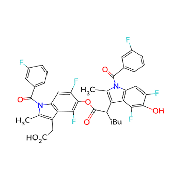 CCC(C)C(C(=O)Oc1c(F)cc2c(c1F)c(CC(=O)O)c(C)n2C(=O)c1cccc(F)c1)c1c(C)n(C(=O)c2cccc(F)c2)c2cc(F)c(O)c(F)c12